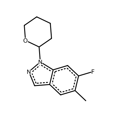 Cc1cc2cnn(C3CCCCO3)c2cc1F